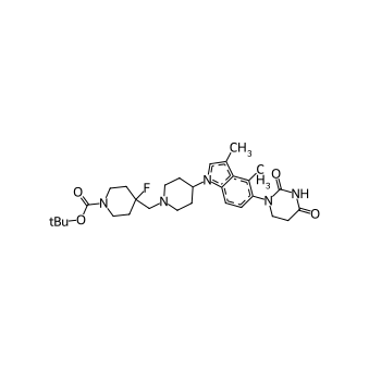 Cc1cn(C2CCN(CC3(F)CCN(C(=O)OC(C)(C)C)CC3)CC2)c2ccc(N3CCC(=O)NC3=O)c(C)c12